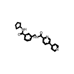 O=C(NC1CCCC1)c1cccc(CNC(=O)c2ccc(-c3ccncc3)cn2)c1